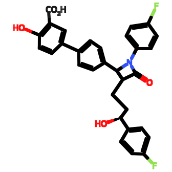 O=C(O)c1cc(-c2ccc(C3C(CC[C@H](O)c4ccc(F)cc4)C(=O)N3c3ccc(F)cc3)cc2)ccc1O